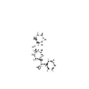 O=C(c1ccccc1)c1cc[n+](Cc2ccccn2)cc1